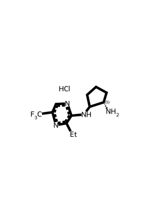 CCc1nc(C(F)(F)F)cnc1NC1CCC[C@@H]1N.Cl